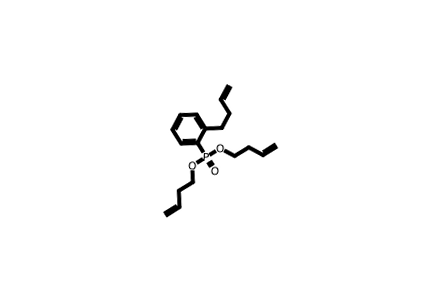 C=CCCOP(=O)(OCCC=C)c1ccccc1CCC=C